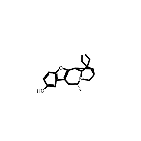 CCC1(CC)CC2CC3c4oc5ccc(O)cc5c4C[C@@H](C)N(C2)C31